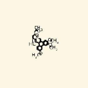 COc1ccc2c3c(c4cc(OC)c(OC)cc4c2c1)CN1O[C@@H](CC(C)=O)CC[C@H]1[C@H]3O